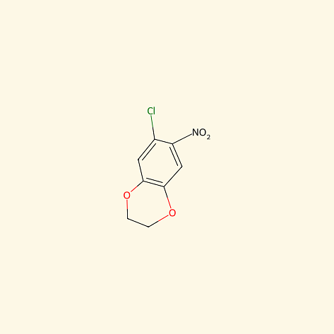 O=[N+]([O-])c1cc2c(cc1Cl)OCCO2